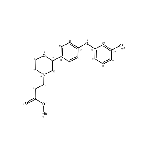 CC(C)(C)OC(=O)CCN1CCOC(c2ccc(Oc3cccc(C(F)(F)F)c3)cc2)C1